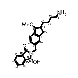 COC1c2ccc(CN3C(=O)c4ccccc4[C@@H]3O)cc2CC1CCCCN